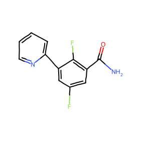 NC(=O)c1cc(F)cc(-c2ccccn2)c1F